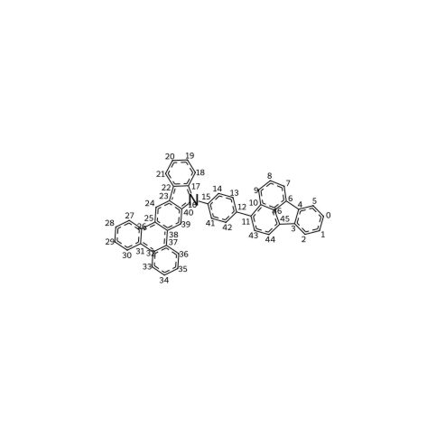 c1ccc2c(c1)-c1cccc3c(-c4ccc(-n5c6ccccc6c6cc7c8ccccc8c8ccccc8c7cc65)cc4)ccc-2c13